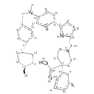 CN(Cc1ccc([C@H]2CC[C@H](C)CC2)cc1)c1ccc(-c2csc(CN3CCC(C(=O)O)(c4ccccc4)CC3)n2)cc1